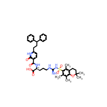 Cc1c(C)c(S(=O)(=O)NC(=N)NCCC[C@H](NC(=O)c2ccc(CCC(c3ccccc3)c3ccccc3)[nH]c2=O)C(=O)O)c(C)c2c1OC(C)(C)CC2